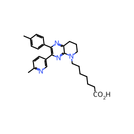 Cc1ccc(-c2nc3c(nc2-c2ccc(C)nc2)N(CCCCCCC(=O)O)CCC3)cc1